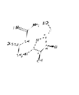 N=C(N)NC(N)=O.OC[C@H]1OC(O)[C@H](O)[C@@H]1O